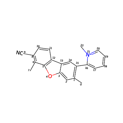 Cc1cc2oc3c(C)c(C#N)ccc3c2cc1-c1cccc[n+]1C